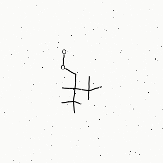 CC(C)(C)C(C)(CO[O])C(C)(C)C